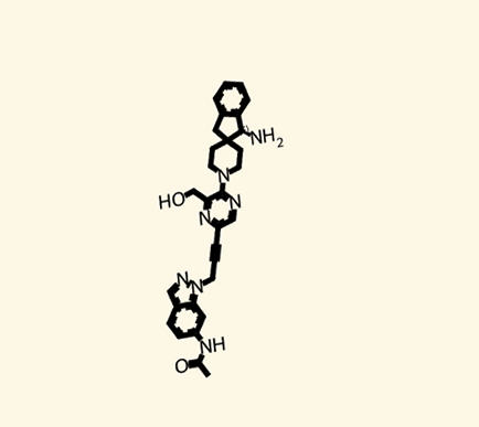 CC(=O)Nc1ccc2cnn(CC#Cc3cnc(N4CCC5(CC4)Cc4ccccc4[C@H]5N)c(CO)n3)c2c1